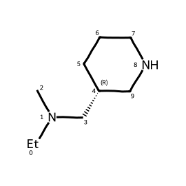 CCN(C)C[C@@H]1CCCNC1